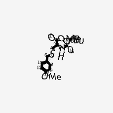 COC(=O)C(CSCc1ccc(OC)cc1)NC(=O)OC(C)(C)C